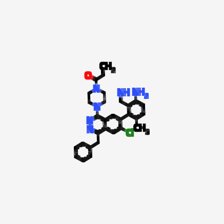 C=CC(=O)N1CCN(c2nnc(Cc3ccccc3)c3cc(Cl)c(-c4c(C)ccc(N)c4C=N)cc23)CC1